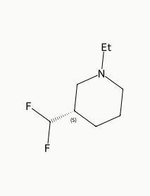 CCN1CCC[C@H](C(F)F)C1